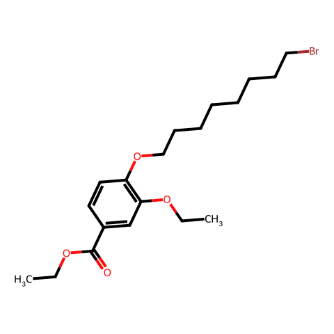 CCOC(=O)c1ccc(OCCCCCCCCBr)c(OCC)c1